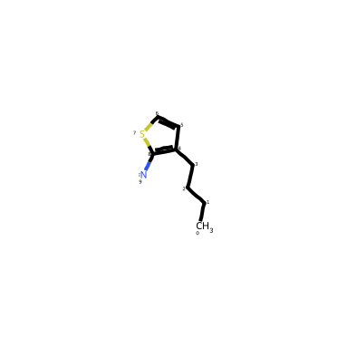 CCCCc1ccsc1[N]